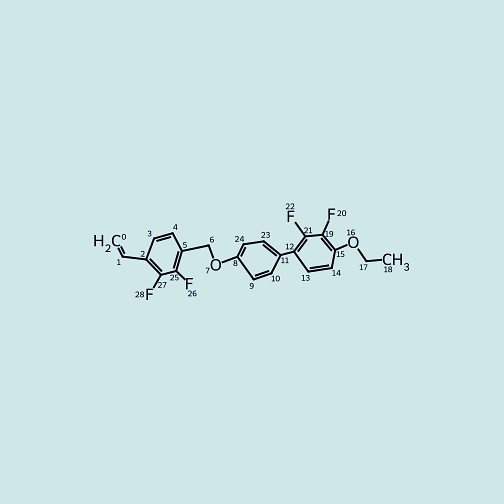 C=Cc1ccc(COc2ccc(-c3ccc(OCC)c(F)c3F)cc2)c(F)c1F